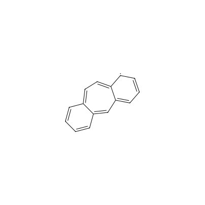 [CH]1C=CC=C2C=c3ccccc3=CC=C12